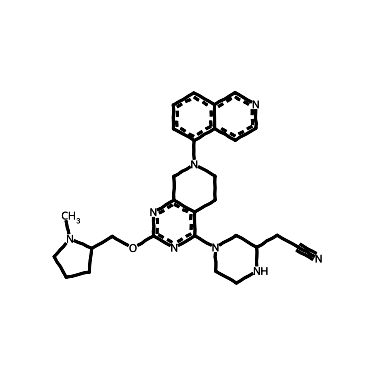 CN1CCCC1COc1nc2c(c(N3CCNC(CC#N)C3)n1)CCN(c1cccc3cnccc13)C2